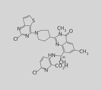 Cc1cc([C@@H](C)Nc2ccc(Cl)nc2C(=O)O)c2nc(C3CCN(c4nc(Cl)nc5ccsc45)CC3)n(C)c(=O)c2c1